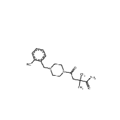 CC(C)(CC(=O)N1CCN(Cc2ccccc2C#N)CC1)C(N)=O